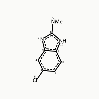 CNc1nc2cc(Cl)ccc2[nH]1